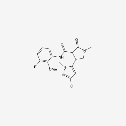 COc1c(F)cccc1NC(=O)C1C(=O)N(C)CC1c1cc(Cl)nn1C